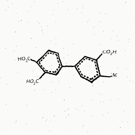 CC(=O)c1ccc(-c2ccc(C(=O)O)c(C(=O)O)c2)cc1C(=O)O